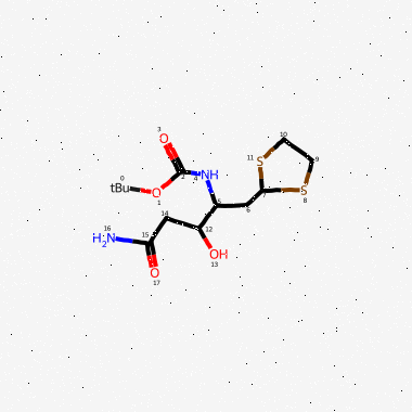 CC(C)(C)OC(=O)NC(CC1SCCS1)C(O)CC(N)=O